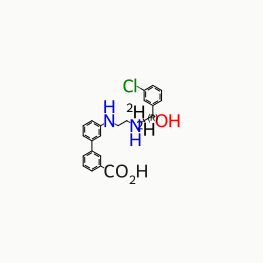 [2H]C([2H])(NCCNc1cccc(-c2cccc(C(=O)O)c2)c1)[C@H](O)c1cccc(Cl)c1